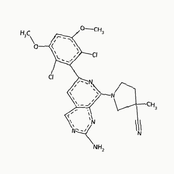 COc1cc(OC)c(Cl)c(-c2cc3cnc(N)nc3c(N3CCC(C)(C#N)C3)n2)c1Cl